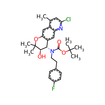 Cc1cc(Cl)nc2cc3c(cc12)OC(C)(C)[C@H](O)[C@H]3N(CCc1ccc(F)cc1)C(=O)OC(C)(C)C